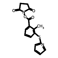 Cc1c(Sc2ccccn2)cccc1C(=O)ON1C(=O)CCC1=O